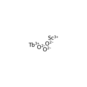 [O-2].[O-2].[O-2].[Sc+3].[Tb+3]